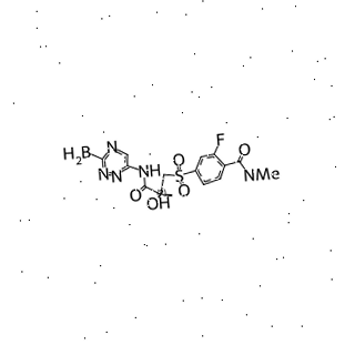 Bc1ncc(NC(=O)[C@@](C)(O)CS(=O)(=O)c2ccc(C(=O)NC)c(F)c2)nn1